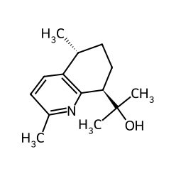 Cc1ccc2c(n1)[C@H](C(C)(C)O)CC[C@H]2C